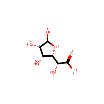 O=C(O)[C@H](O)[C@H]1O[C@H](O)[C@@H](O)[C@H]1O